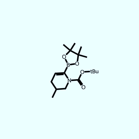 CC1CC=C(B2OC(C)(C)C(C)(C)O2)N(C(=O)OC(C)(C)C)C1